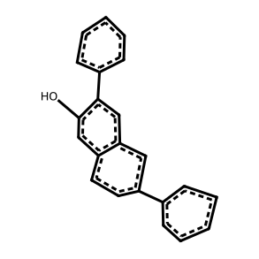 Oc1cc2ccc(-c3ccccc3)cc2cc1-c1ccccc1